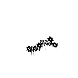 O=C(CC(O)NC(=O)c1ccc(N2CCC(Nc3ncccn3)CC2)c(F)c1)OC(c1ccccc1)c1ccccc1